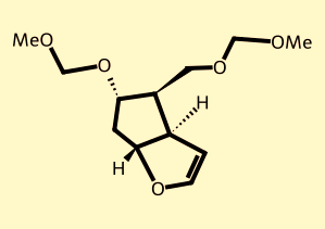 COCOC[C@H]1[C@H]2C=CO[C@@H]2C[C@@H]1OCOC